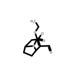 CCOC(=O)N1C2CCC1C(C=O)=C(Cl)C2